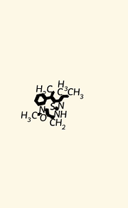 C=C/C(c1ccccc1)=c1/sc(NC(=C)c2cnc(C)o2)n/c1=C(/C)CC